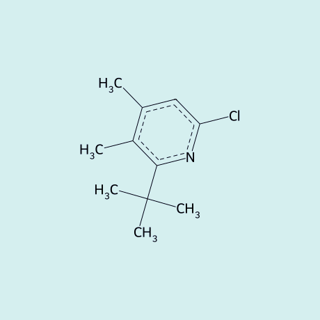 Cc1cc(Cl)nc(C(C)(C)C)c1C